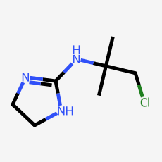 CC(C)(CCl)NC1=NCCN1